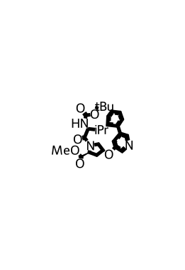 COC(=O)[C@@H]1C[C@@H](Oc2cncc(-c3ccccc3)c2)CN1C(=O)C(NC(=O)OC(C)(C)C)C(C)C